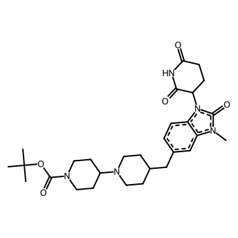 Cn1c(=O)n(C2CCC(=O)NC2=O)c2ccc(CC3CCN(C4CCN(C(=O)OC(C)(C)C)CC4)CC3)cc21